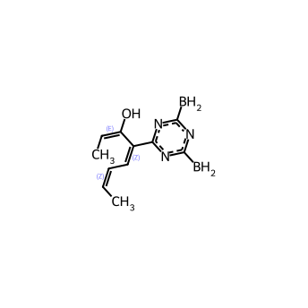 Bc1nc(B)nc(C(=C/C=C\C)/C(O)=C\C)n1